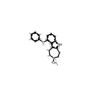 CN1CCc2[nH]c3cccc(Oc4ccccc4)c3c2CC1